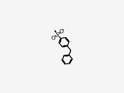 CS(=O)(=O)c1c[c]c(Cc2ccccc2)cc1